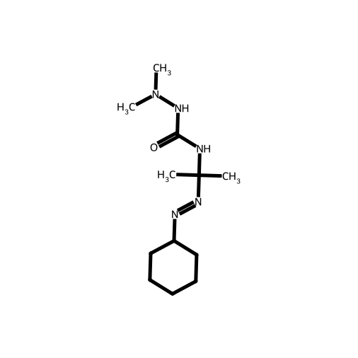 CN(C)NC(=O)NC(C)(C)N=NC1CCCCC1